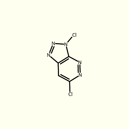 Clc1cc2nnn(Cl)c2nn1